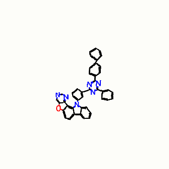 c1ccc(-c2ccc(-c3nc(-c4ccccc4)nc(-c4cccc(-n5c6ccccc6c6ccc7oc8cncnc8c7c65)c4)n3)cc2)cc1